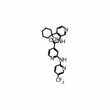 O=C(Nc1cnccc1C1(O)CCCCC1)c1ccnc(Nc2ccc(C(F)(F)F)cn2)c1